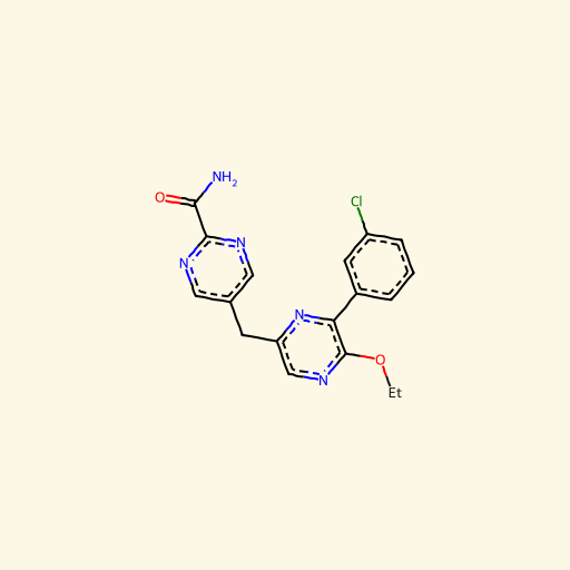 CCOc1ncc(Cc2cnc(C(N)=O)nc2)nc1-c1cccc(Cl)c1